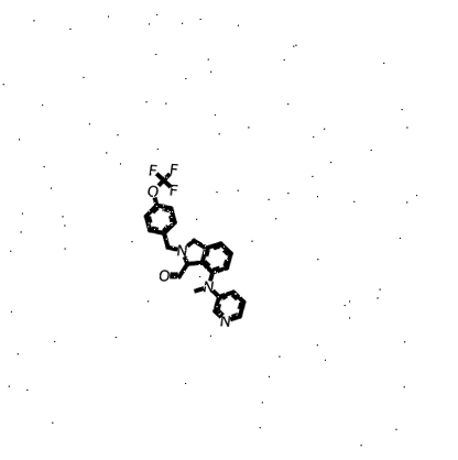 CN(c1cccnc1)c1cccc2c1C(C=O)N(Cc1ccc(OC(F)(F)F)cc1)C2